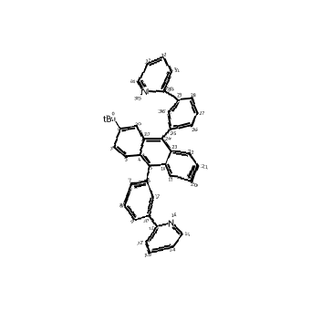 CC(C)(C)c1ccc2c(-c3cccc(-c4ccccn4)c3)c3ccccc3c(-c3cccc(-c4ccccn4)c3)c2c1